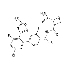 Cc1nc(-c2c(F)cc(Cl)cc2-c2ccc([C@@H](C)NC(=O)[C]3COC3C(N)=O)c(F)c2)no1